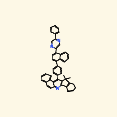 CC1(C)C2=C(C=CCC2)c2nc3ccc4ccccc4c3c(-c3ccc(-c4ccc(-c5cnc(-c6ccccc6)cn5)c5ccccc45)cc3)c21